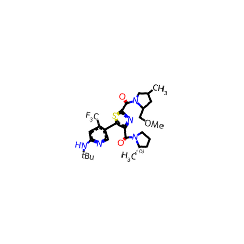 COCC1CC(C)CN1C(=O)c1nc(C(=O)N2CCC[C@@H]2C)c(-c2cnc(NC(C)(C)C)cc2C(F)(F)F)s1